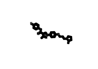 Cc1nn(-c2ccc(OCCCN3CCCC3C)cc2)cc1C(=O)Oc1ccc(F)cc1